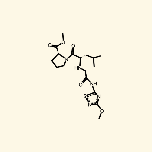 COC(=O)[C@@H]1CCCN1C(=O)[C@H](CC(C)C)NCC(=O)Nc1nc(OC)ns1